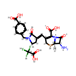 N[C@@H]1C(=O)N2C(C(=O)O)=C(/C=C3\CCN(Cc4ccc(C(=O)O)cc4)C3=O)CS[C@H]12.O=C(O)C(F)(F)F